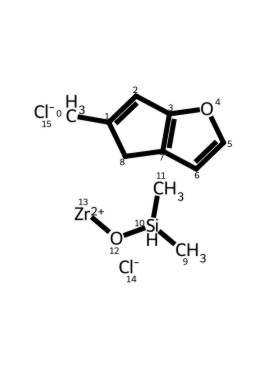 CC1=Cc2occc2C1.C[SiH](C)[O][Zr+2].[Cl-].[Cl-]